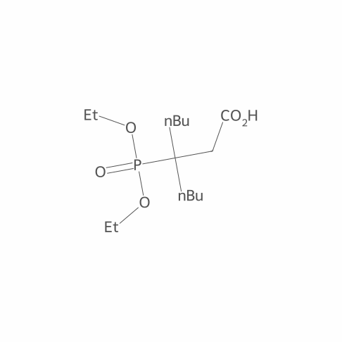 CCCCC(CCCC)(CC(=O)O)P(=O)(OCC)OCC